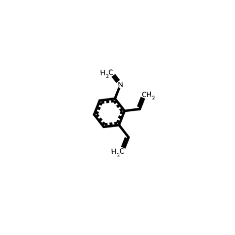 C=Cc1cccc(N=C)c1C=C